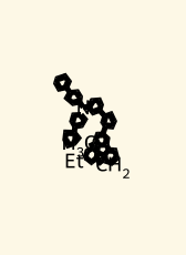 C=C1CC(CC)CC(C)C12c1ccccc1-c1cc(-c3cccc(-c4cccc(N(c5ccc(-c6ccccc6)cc5)c5ccc(-c6ccccc6)cc5)c4)c3)ccc12